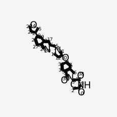 O=C1CCC(N2Cc3cc(O[C@H]4CCN(Cc5cc6cc([C@H]7CCOC7)ccc6cn5)C4)ccc3C2=O)C(=O)N1